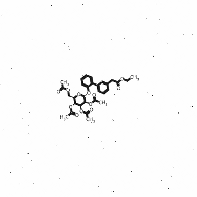 CCOC(=O)Cc1cccc(-c2ccccc2O[C@H]2O[C@H](COC(C)=O)[C@@H](OC(C)=O)[C@H](OC(C)=O)[C@@H]2OC(C)=O)c1